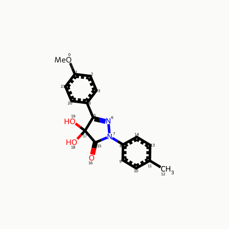 COc1ccc(C2=NN(c3ccc(C)cc3)C(=O)C2(O)O)cc1